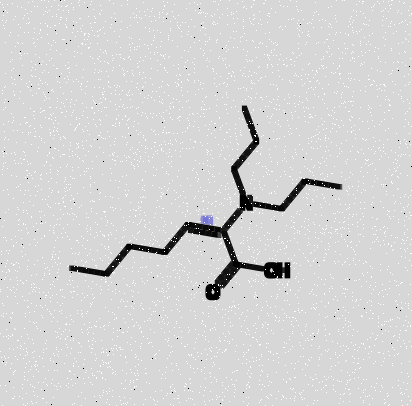 CCCC/C=C(\C(=O)O)N(CCC)CCC